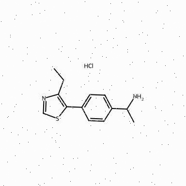 CCc1ncsc1-c1ccc(C(C)N)cc1.Cl